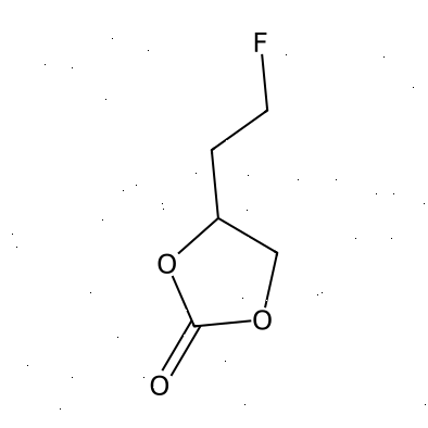 O=C1OCC(CCF)O1